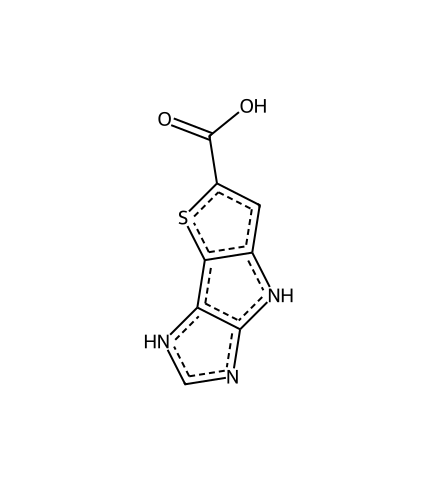 O=C(O)c1cc2[nH]c3nc[nH]c3c2s1